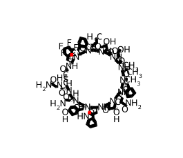 CCCC[C@H]1C(=O)N2C[C@H](O)C[C@@H]2C(=O)N[C@@H](CC(=O)O)C(=O)N[C@@H](C(C)C)C(=O)N(C)[C@@H](Cc2ccccc2)C(=O)N[C@@H](CCC(N)=O)C(=O)N2C[C@H](O)C[C@H]2C(=O)N[C@@H](Cc2c[nH]c3ccccc23)C(=O)N[C@@H](Cc2ccc(O)cc2)C(=O)N[C@@H](CCN)C(=O)N[C@H](C(=O)NCC(N)=O)CSCC(=O)N[C@@H](Cc2cc(F)c(F)c(F)c2)C(=O)N(C)[C@@H](Cc2ccccc2)C(=O)N1C